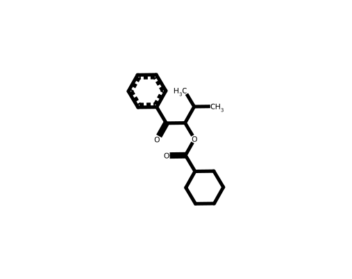 CC(C)C(OC(=O)C1CCCCC1)C(=O)c1ccccc1